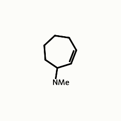 CNC1C=CCCCC1